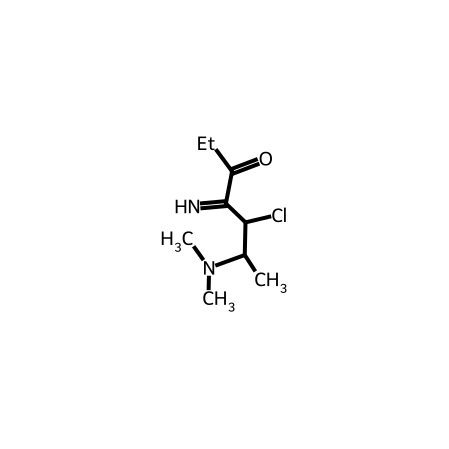 CCC(=O)C(=N)C(Cl)C(C)N(C)C